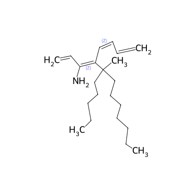 C=C/C=C\C(=C(\N)C=C)C(C)(CCCCC)CCCCCCC